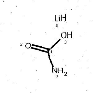 NC(=O)O.[LiH]